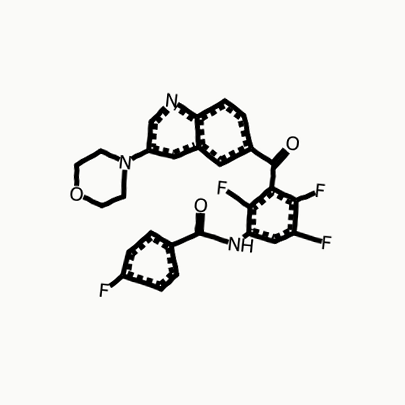 O=C(Nc1cc(F)c(F)c(C(=O)c2ccc3ncc(N4CCOCC4)cc3c2)c1F)c1ccc(F)cc1